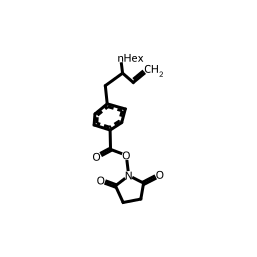 C=CC(CCCCCC)Cc1ccc(C(=O)ON2C(=O)CCC2=O)cc1